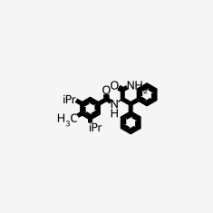 Cc1c(C(C)C)cc(C(=O)N[C@H](C(N)=O)C(c2ccccc2)c2ccccc2)cc1C(C)C